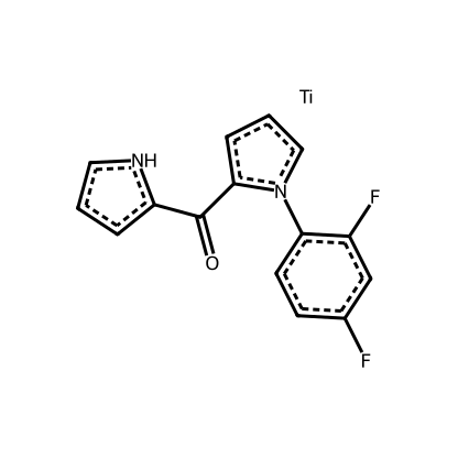 O=C(c1ccc[nH]1)c1cccn1-c1ccc(F)cc1F.[Ti]